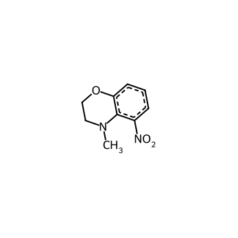 CN1CCOc2cccc([N+](=O)[O-])c21